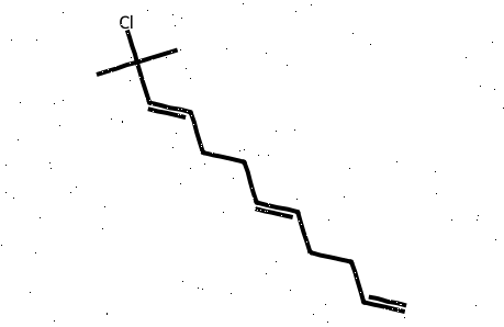 C=CCCC=CCCC=CC(C)(C)Cl